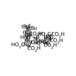 CC(C)(C)[Si](F)(c1ccc(C(=O)NC[C@H](NC(=O)CN2CCN(CC(=O)O)CCN(CC(=O)O)CCN(CC(=O)O)CC2)C(=O)N[C@@H](CCCCNC(=O)CCC(=O)NCCC[C@H](NC(=O)CC[C@H](NC(=O)N[C@@H](CCC(=O)O)C(=O)O)C(=O)O)C(=O)O)C(=O)O)cc1)C(C)(C)C